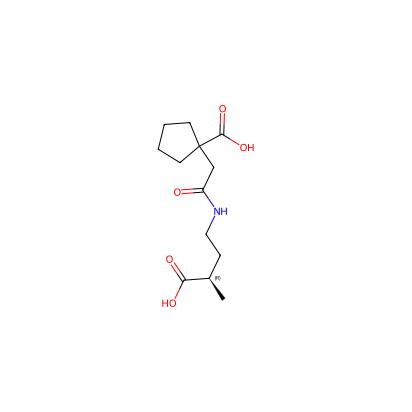 C[C@H](CCNC(=O)CC1(C(=O)O)CCCC1)C(=O)O